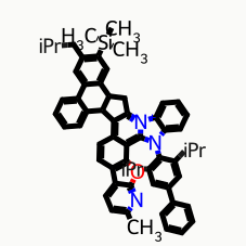 Cc1ccc2c(n1)oc1c2ccc2c3c([n+]4c5ccccc5n(-c5c(C(C)C)cc(-c6ccccc6)cc5C(C)C)c4c21)CC1c2cc([Si](C)(C)C)c(CC(C)C)cc2-c2ccccc2C31